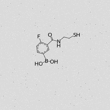 O=C(NCCS)c1cc(B(O)O)ccc1F